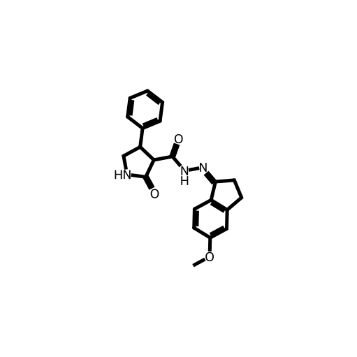 COc1ccc2c(c1)CC/C2=N/NC(=O)C1C(=O)NCC1c1ccccc1